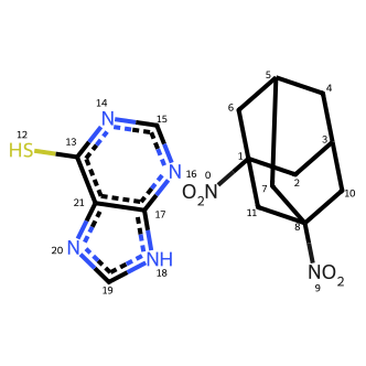 O=[N+]([O-])C12CC3CC(C1)CC([N+](=O)[O-])(C3)C2.Sc1ncnc2[nH]cnc12